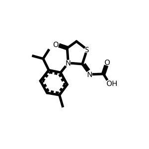 Cc1ccc(C(C)C)c(N2C(=O)CS/C2=N\C(=O)O)c1